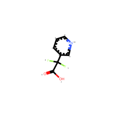 O=C(O)C(F)(F)c1cccnc1